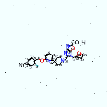 CC1(c2cccc(OCc3ccc(C#N)cc3F)n2)CCN(Cc2nc3nc(C(=O)O)oc3n2C[C@@H]2CCO2)CC1